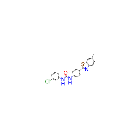 Cc1ccc2nc(-c3ccc(NC(=O)Nc4cccc(Cl)c4)cc3)sc2c1